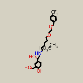 CC(=O)O.OCc1cc([C@@H](O)CNCCCCCCOCCOCc2ccc(C(F)(F)F)cc2)ccc1O